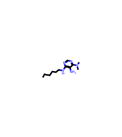 CCCCCCNc1ncnc(N(C)C)c1N